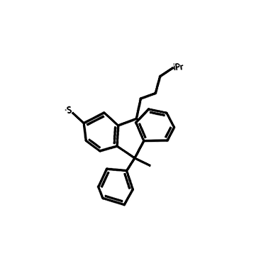 CC(C)CCCCc1cc([S])ccc1C(C)(c1ccccc1)c1ccccc1